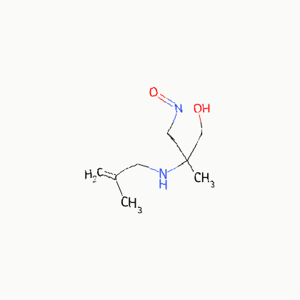 C=C(C)CNC(C)(CO)CN=O